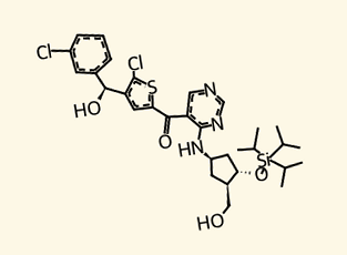 CC(C)[Si](O[C@H]1C[C@H](Nc2ncncc2C(=O)c2cc([C@@H](O)c3cccc(Cl)c3)c(Cl)s2)C[C@@H]1CO)(C(C)C)C(C)C